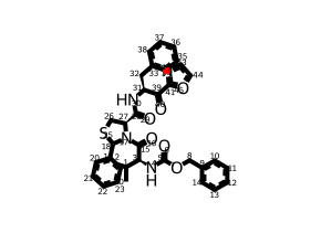 CC(C)[C@H](NC(=O)OCc1ccccc1)C(=O)N1C(c2ccccc2)SC[C@H]1C(=O)N[C@@H](Cc1ccccc1)C(=O)c1ncco1